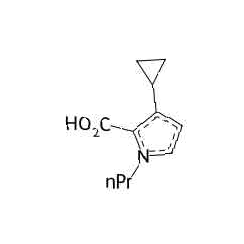 CCCn1ccc(C2CC2)c1C(=O)O